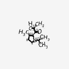 CC(C)C(=O)[C@@H]1[C@@H](C)CCN1C(C)C